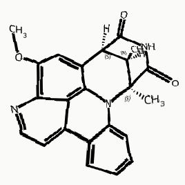 COc1cc2c3c4c(ccnc14)-c1ccccc1N3[C@]1(C)C(=O)NC(=O)[C@H]2[C@H]1C